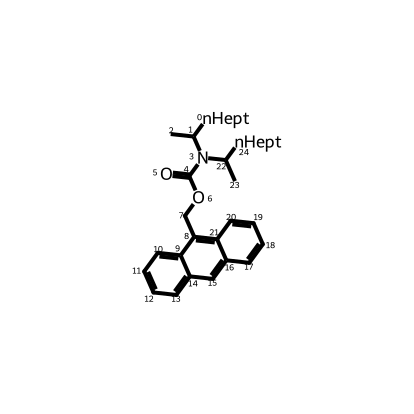 CCCCCCCC(C)N(C(=O)OCc1c2ccccc2cc2ccccc12)C(C)CCCCCCC